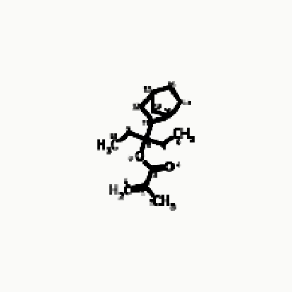 C=C(C)C(=O)OC(CC)(CC)C1CC2CCC1C2